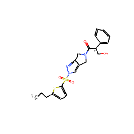 O=C([C@H](CO)c1ccccc1)N1Cc2cn(S(=O)(=O)c3ccc(CCC(F)(F)F)s3)nc2C1